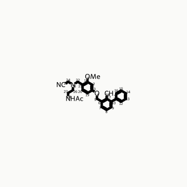 COc1cc(OCc2cccc(-c3ccccc3)c2C)ccc1CN(CC#N)CCNC(C)=O